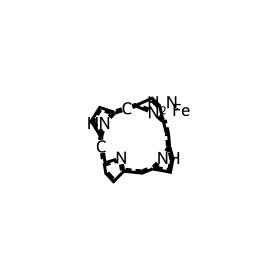 C1=Cc2cc3ccc(cc4nc(cc5ccc(cc1n2)[nH]5)C=C4)[nH]3.[NH2][Fe]